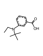 CCN(c1cccc(C(=O)O)c1)C(C)(C)C